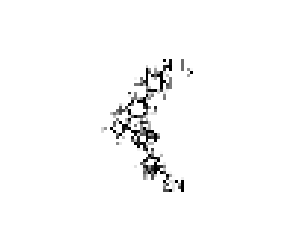 N#CCn1cc(-c2nc(C3(c4ccc(-c5cnc(N)nc5)cc4)CCC3)no2)cn1